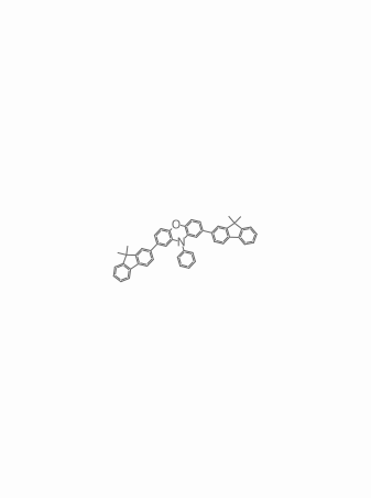 CC1(C)c2ccccc2-c2ccc(-c3ccc4c(c3)N(c3ccccc3)c3cc(-c5ccc6c(c5)C(C)(C)c5ccccc5-6)ccc3O4)cc21